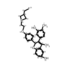 CC1=C(c2ccc(C)c(O)c2)C(c2ccc(OCCN3CC(CF)C3)cc2)Oc2ccc(O)cc21